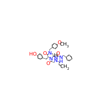 C=CCN1CC(=O)N2[C@@H](Cc3ccc(O)cc3)C(=O)N(Cc3ccc(OC)cc3)C[C@@H]2N1C(=O)NCc1ccccc1